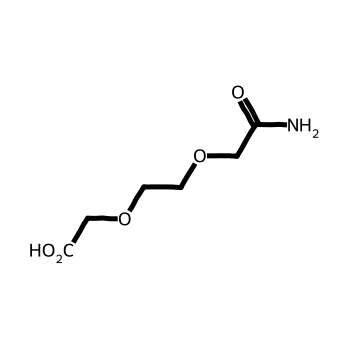 NC(=O)COCCOCC(=O)O